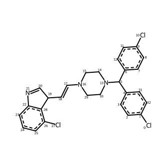 Clc1ccc(C(c2ccc(Cl)cc2)N2CCN(C=CC3C=Nc4cccc(Cl)c43)CC2)cc1